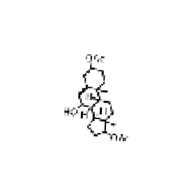 CC(=O)OC1CC[C@@]2(C)C(=CC(O)[C@@H]3[C@H]2CC[C@]2(C)C(OC(C)=O)CC[C@@H]32)C1